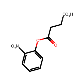 O=C(O)CCC(=O)Oc1ccccc1[N+](=O)[O-]